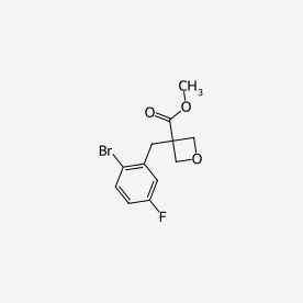 COC(=O)C1(Cc2cc(F)ccc2Br)COC1